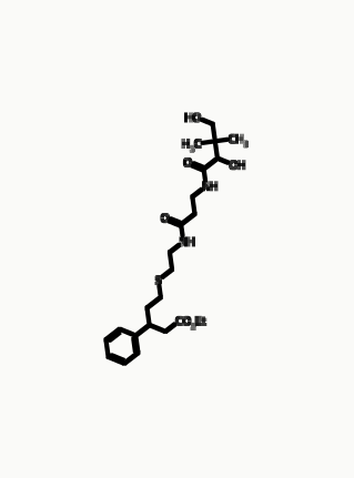 CCOC(=O)CC(CCSCCNC(=O)CCNC(=O)C(O)C(C)(C)CO)c1ccccc1